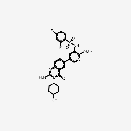 COc1ncc(-c2ccc3nc(N)n([C@H]4CC[C@H](O)CC4)c(=O)c3c2)cc1NS(=O)(=O)c1ccc(F)cc1F